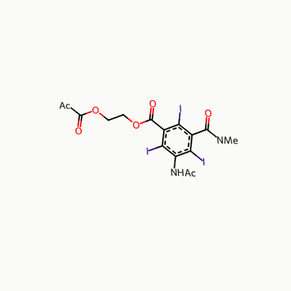 CNC(=O)c1c(I)c(NC(C)=O)c(I)c(C(=O)OCCOC(=O)C(C)=O)c1I